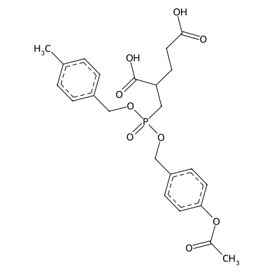 CC(=O)Oc1ccc(COP(=O)(CC(CCC(=O)O)C(=O)O)OCc2ccc(C)cc2)cc1